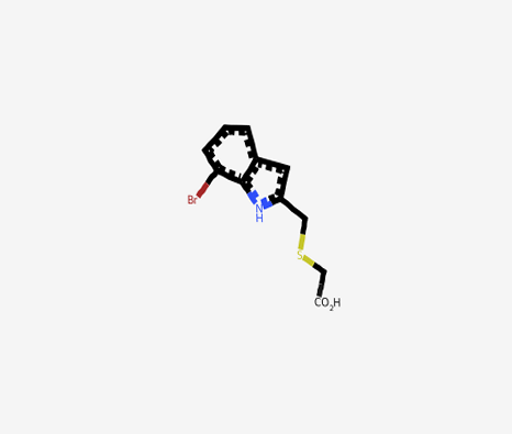 O=C(O)CSCc1cc2cccc(Br)c2[nH]1